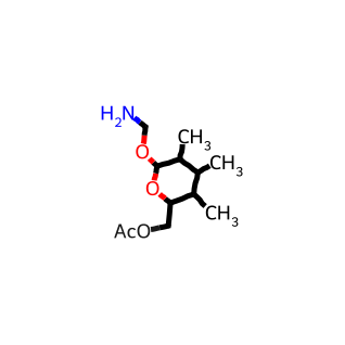 CC(=O)OCC1OC(OCN)C(C)C(C)C1C